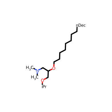 CCCCCCCCCCCCCCCCCCOC(COC(C)C)CN(C)C